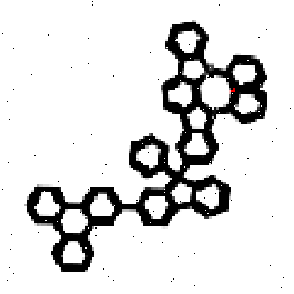 c1ccc(-n2c3ccccc3c3ccc4c5cc(C6(c7ccccc7)c7ccccc7-c7ccc(-c8ccc9c%10ccccc%10c%10ccccc%10c9c8)cc76)ccc5n(-c5ccccc5)c4c32)cc1